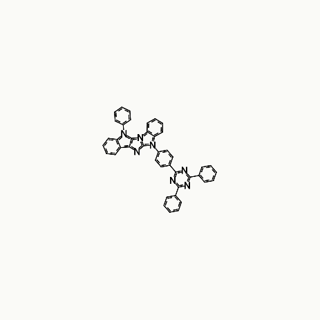 c1ccc(-c2nc(-c3ccccc3)nc(-c3ccc(-n4c5ccccc5n5c4nc4c6ccccc6n(-c6ccccc6)c45)cc3)n2)cc1